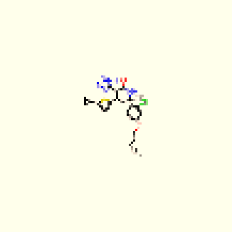 O=C1N[C@@](c2ccc(OCCCC(F)(F)F)cc2Cl)(C(F)(F)F)CC(c2ccc(C3CC3)s2)=C1c1nnn[nH]1